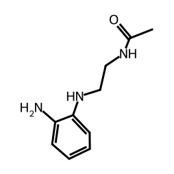 CC(=O)NCCNc1ccccc1N